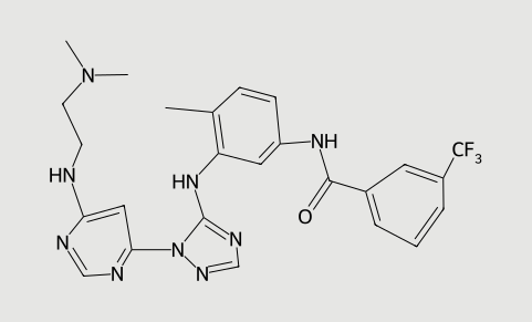 Cc1ccc(NC(=O)c2cccc(C(F)(F)F)c2)cc1Nc1ncnn1-c1cc(NCCN(C)C)ncn1